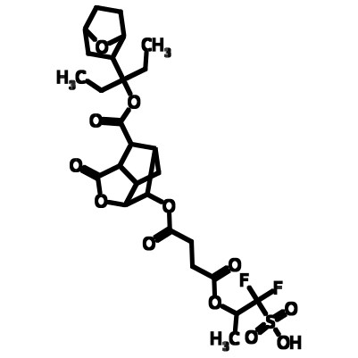 CCC(CC)(OC(=O)C1C2CC3C(OC(=O)C31)C2OC(=O)CCC(=O)OC(C)C(F)(F)S(=O)(=O)O)C1CC2CCC1O2